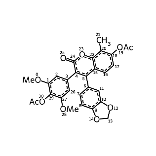 COc1cc(-c2c(-c3ccc4c(c3)OCO4)c3ccc(OC(C)=O)c(C)c3oc2=O)cc(OC)c1OC(C)=O